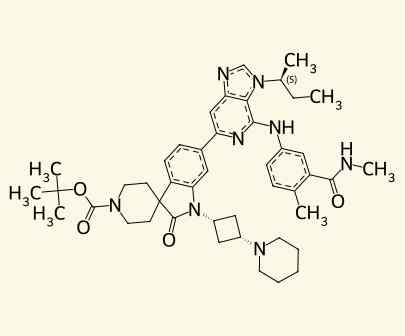 CC[C@H](C)n1cnc2cc(-c3ccc4c(c3)N([C@H]3C[C@@H](N5CCCCC5)C3)C(=O)C43CCN(C(=O)OC(C)(C)C)CC3)nc(Nc3ccc(C)c(C(=O)NC)c3)c21